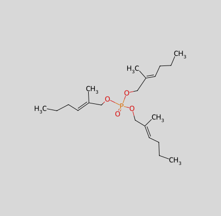 CCC/C=C(\C)COP(=O)(OC/C(C)=C/CCC)OC/C(C)=C/CCC